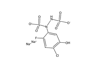 O=S(=O)([O-])NN(c1cc(O)c(Cl)cc1F)S(=O)(=O)[O-].[Na+].[Na+]